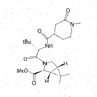 COC(=O)[C@@H]1[C@@H]2[C@H](CN1C(=O)[C@@H](NC(=O)C1CCN(C)C(=O)C1)C(C)(C)C)C2(C)C